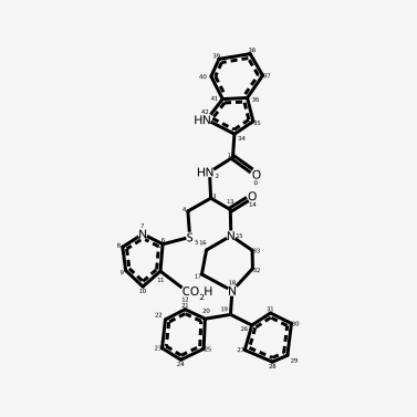 O=C(NC(CSc1ncccc1C(=O)O)C(=O)N1CCN(C(c2ccccc2)c2ccccc2)CC1)c1cc2ccccc2[nH]1